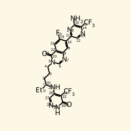 CC[C@@H](CCCn1cnc2cc(-c3cnc(C(F)(F)F)c(N)n3)c(F)cc2c1=O)Nc1cn[nH]c(=O)c1C(F)(F)F